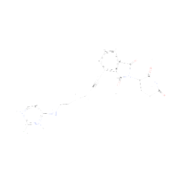 O=C1CCC(N2C(=O)c3cccc(C#CCCCCNc4ccnc(Cl)n4)c3C2=O)C(=O)N1